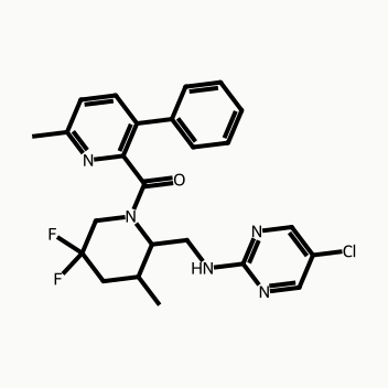 Cc1ccc(-c2ccccc2)c(C(=O)N2CC(F)(F)CC(C)C2CNc2ncc(Cl)cn2)n1